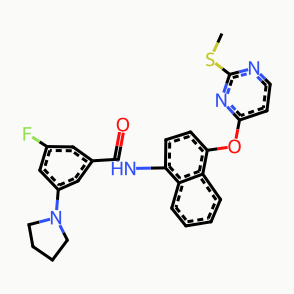 CSc1nccc(Oc2ccc(NC(=O)c3cc(F)cc(N4CCCC4)c3)c3ccccc23)n1